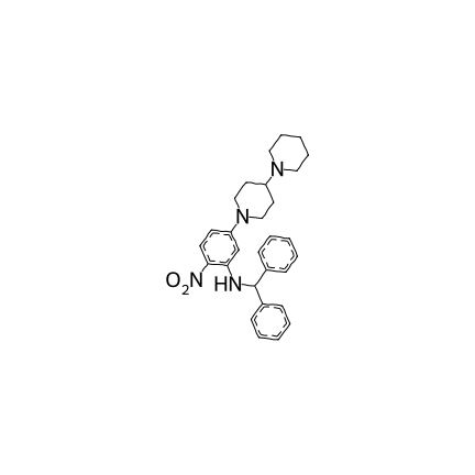 O=[N+]([O-])c1ccc(N2CCC(N3CCCCC3)CC2)cc1NC(c1ccccc1)c1ccccc1